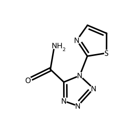 NC(=O)c1nnnn1-c1nccs1